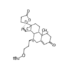 CC(C)(C)OCCC[C@@H]1CC2=CC(=O)CCC2(C)C2CCC3(C)C(CC[C@@]34CCC(=O)O4)C21